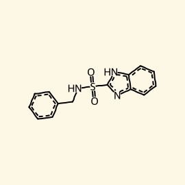 O=S(=O)(NCc1ccccc1)c1nc2ccccc2[nH]1